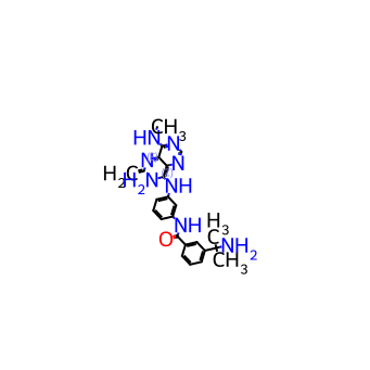 C=C/N=C1/C(NC)=NC=N/C1=C(/N)Nc1cccc(NC(=O)c2cccc(C(C)(C)N)c2)c1